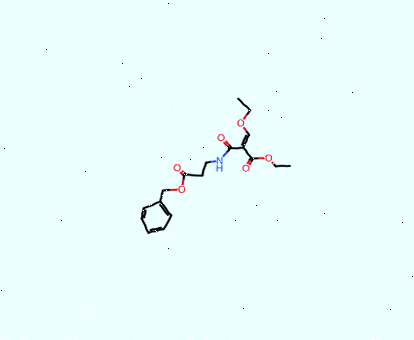 CCO/C=C(\C(=O)NCCC(=O)OCc1ccccc1)C(=O)OCC